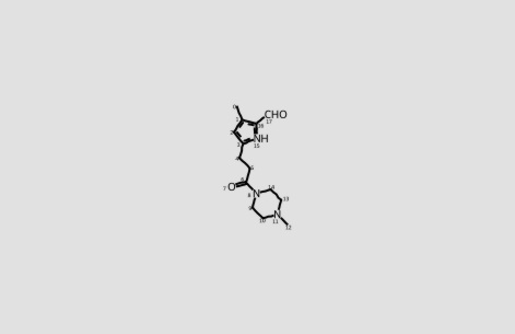 Cc1cc(CCC(=O)N2CCN(C)CC2)[nH]c1C=O